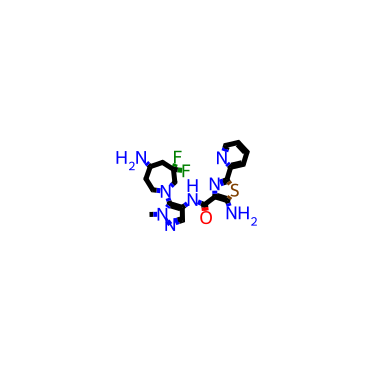 Cn1ncc(NC(=O)c2nc(-c3ccccn3)sc2N)c1N1CCC(N)CC(F)(F)C1